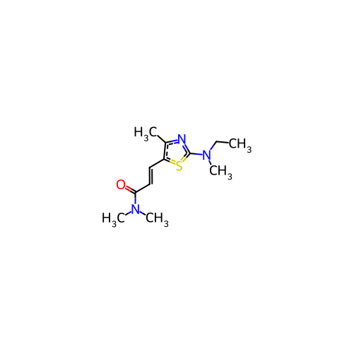 CCN(C)c1nc(C)c(C=CC(=O)N(C)C)s1